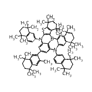 Cc1cc2c(cc1-c1cc3c4c(c1)N(c1ccc5c(c1)C(C)(C)CCC5(C)C)c1sc5c(c1B4c1cc4c(cc1N3c1ccc3c(c1)C(C)(C)CCC3(C)C)C(C)(C)CCC4(C)C)C(C)(C)CCC5(C)C)C(C)(C)CCC2(C)C